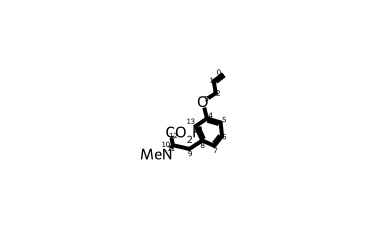 C=CCOc1cccc(CC(NC)C(=O)O)c1